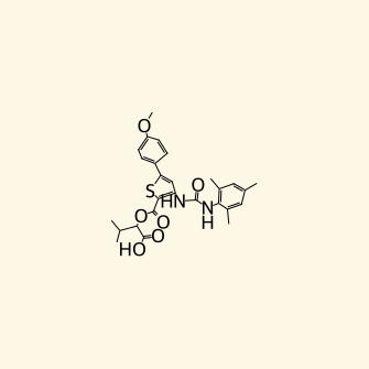 COc1ccc(-c2cc(NC(=O)Nc3c(C)cc(C)cc3C)c(C(=O)O[C@H](C(=O)O)C(C)C)s2)cc1